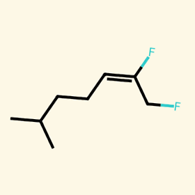 CC(C)CC/C=C(/F)CF